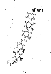 CCCCCC1CCC(c2ccc(-c3ccc(CCc4ccc(-c5ccc(OC(F)(F)F)c(F)c5)c(F)c4)c(F)c3)c(F)c2F)CC1